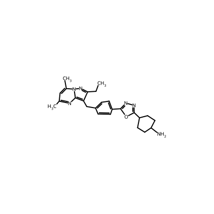 CCc1nn2c(C)cc(C)nc2c1Cc1ccc(-c2nnc(C3CCC(N)CC3)o2)cc1